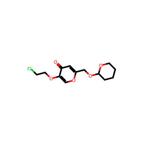 O=c1cc(COC2CCCCO2)occ1OCCCl